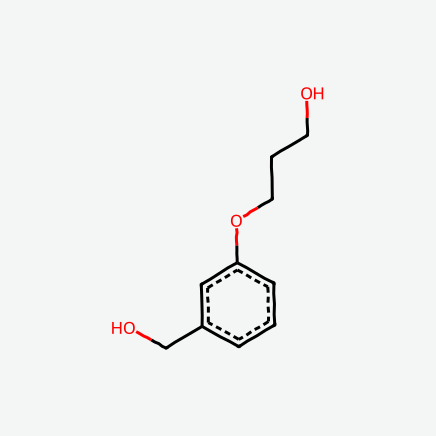 OCCCOc1cccc(CO)c1